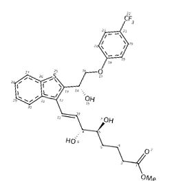 COC(=O)CCC[C@H](O)[C@H](O)/C=C/c1c([C@@H](O)COc2ccc(C(F)(F)F)cc2)sc2ccccc12